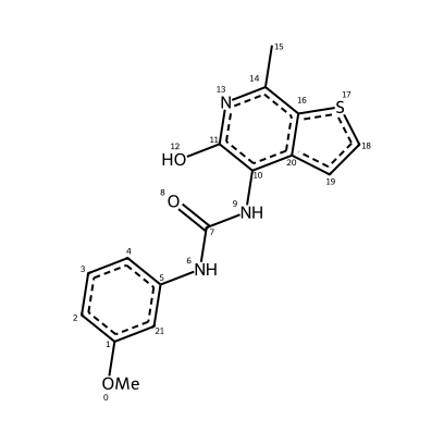 COc1cccc(NC(=O)Nc2c(O)nc(C)c3sccc23)c1